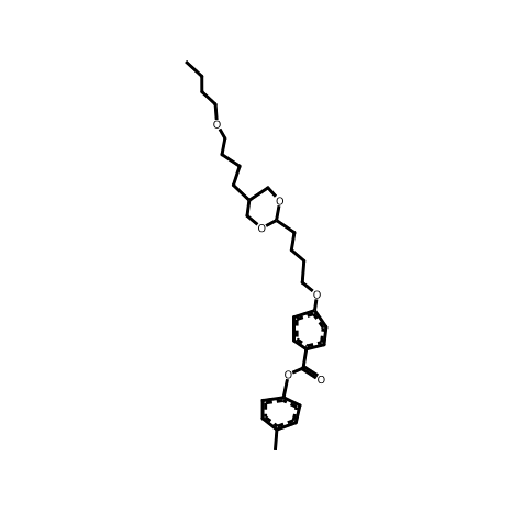 CCCCOCCCCC1COC(CCCCOc2ccc(C(=O)Oc3ccc(C)cc3)cc2)OC1